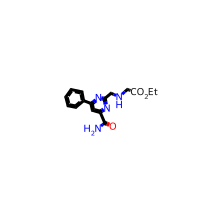 CCOC(=O)CNCc1nc(C(N)=O)cc(-c2ccccc2)n1